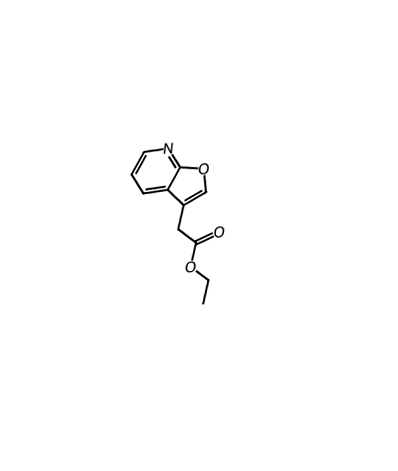 CCOC(=O)Cc1coc2ncccc12